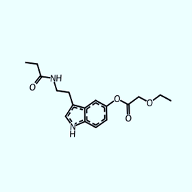 CCOCC(=O)Oc1ccc2[nH]cc(CCNC(=O)CC)c2c1